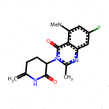 C=C1CCC(n2c(C)nc3cc(F)cc(NC)c3c2=O)C(=O)N1